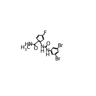 CNC(=O)c1ccc(F)cc1NC(=O)Nc1cc(Br)cc(Br)c1